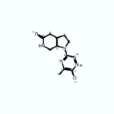 Cc1nc(N2CCC3CC(=O)NCC32)nnc1Cl